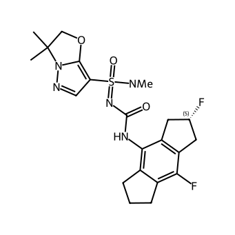 CNS(=O)(=NC(=O)Nc1c2c(c(F)c3c1C[C@H](F)C3)CCC2)c1cnn2c1OCC2(C)C